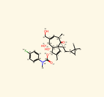 CC1=C[C@]2([C@H](C)C[C@@H]3CC3(C)C)C(=O)[C@H](C)C=C(CO)[C@@H](O)[C@]2(O)[C@H]1OC(=O)N(C)c1ccc(F)cc1